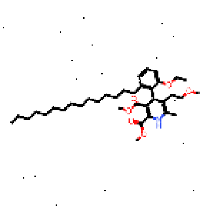 CCCCCCCCCCCCCCCc1cccc(OCC)c1C1C(CCOC)=C(C)NC(C(=O)OC)=C1C(=O)OC